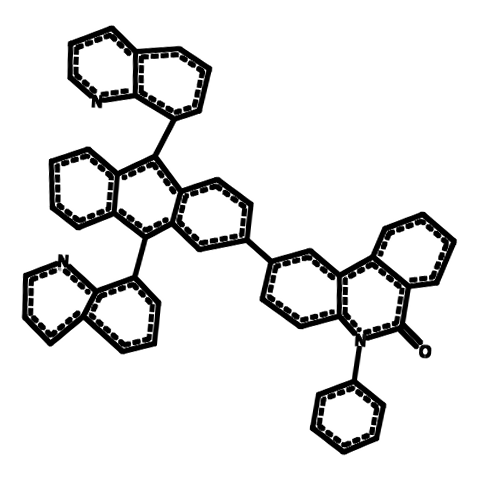 O=c1c2ccccc2c2cc(-c3ccc4c(-c5cccc6cccnc56)c5ccccc5c(-c5cccc6cccnc56)c4c3)ccc2n1-c1ccccc1